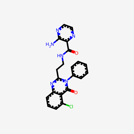 Nc1nccnc1C(=O)NCCc1nc2cccc(Cl)c2c(=O)n1-c1ccccc1